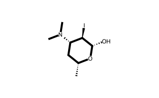 C[C@@H]1C[C@H](N(C)C)[C@@H](I)[C@H](O)O1